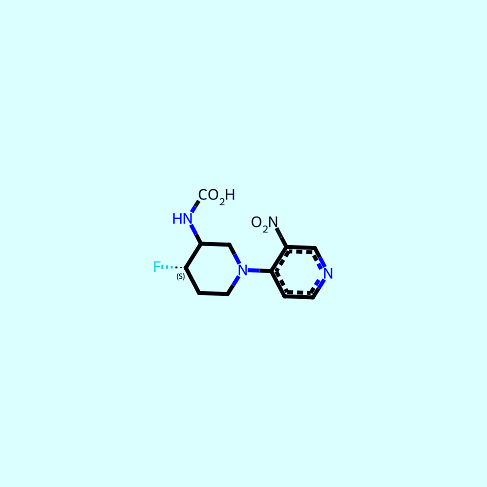 O=C(O)NC1CN(c2ccncc2[N+](=O)[O-])CC[C@@H]1F